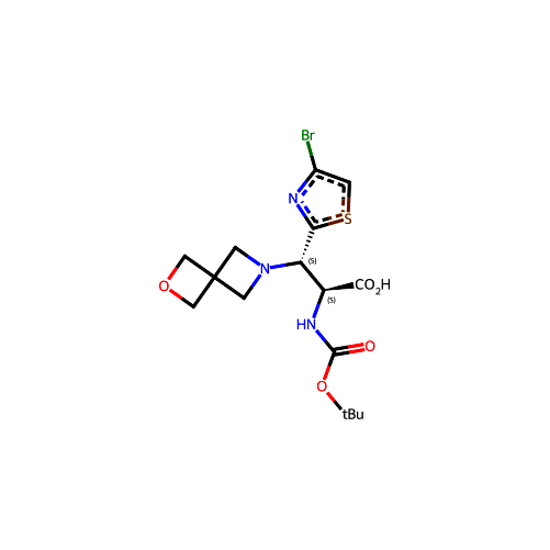 CC(C)(C)OC(=O)N[C@H](C(=O)O)[C@@H](c1nc(Br)cs1)N1CC2(COC2)C1